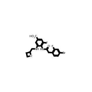 O=C(Cc1ccc(Br)cc1F)Nc1c(F)cc(C(=O)O)cc1NCC1CCO1